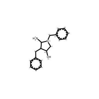 NC1C(Cc2ccccc2)C(O)CN1Cc1ccccc1